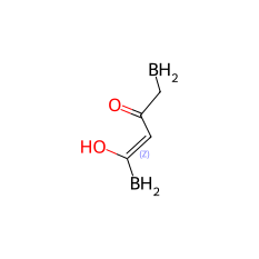 BCC(=O)/C=C(/B)O